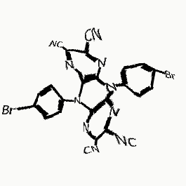 [C-]#[N+]c1nc2c(nc1[N+]#[C-])N(c1ccc(Br)cc1)c1nc(C#N)c(C#N)nc1N2c1ccc(Br)cc1